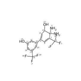 NC1(N)C(C(F)(F)F)=CC(c2cc(O)cc(C(F)(F)F)c2)=CC1O